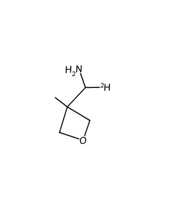 [2H]C(N)C1(C)COC1